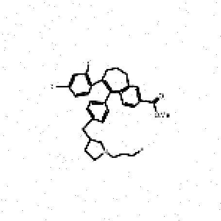 COC(=O)c1ccc2c(c1)CCCC(c1ccc(Cl)cc1Cl)=C2c1ccc(CC2CCN(CCCF)C2)cc1